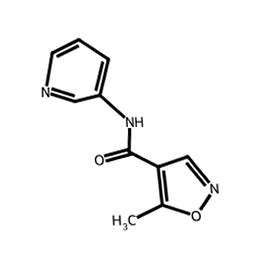 Cc1oncc1C(=O)Nc1cccnc1